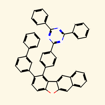 c1ccc(-c2cccc(-c3ccc4oc5cc6ccccc6cc5c4c3-c3ccc(-c4nc(-c5ccccc5)nc(-c5ccccc5)n4)cc3)c2)cc1